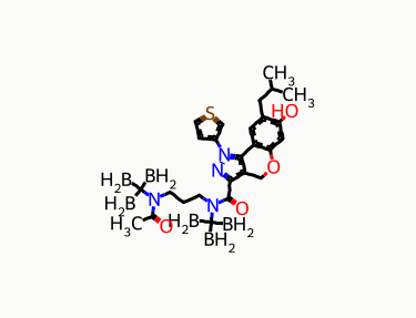 BC(B)(B)N(CCCN(C(=O)c1nn(-c2ccsc2)c2c1COc1cc(O)c(CC(C)C)cc1-2)C(B)(B)B)C(C)=O